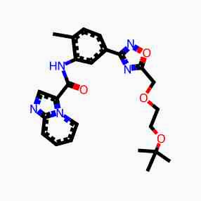 Cc1ccc(-c2noc(COCCOC(C)(C)C)n2)cc1NC(=O)c1cnc2ccccn12